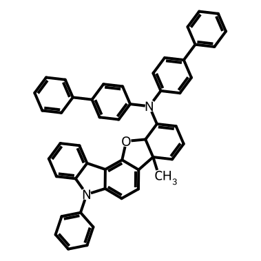 CC12C=CC=C(N(c3ccc(-c4ccccc4)cc3)c3ccc(-c4ccccc4)cc3)C1Oc1c2ccc2c1c1ccccc1n2-c1ccccc1